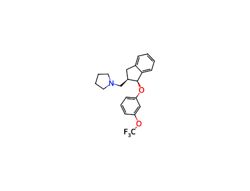 FC(F)(F)Oc1cccc(O[C@@H]2c3ccccc3C[C@@H]2CN2CCCC2)c1